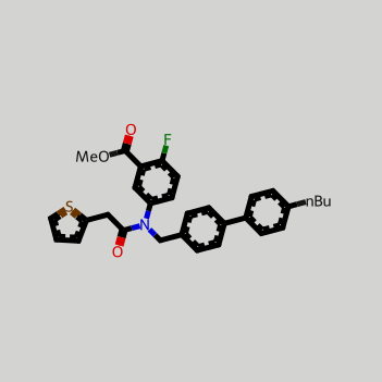 CCCCc1ccc(-c2ccc(CN(C(=O)Cc3cccs3)c3ccc(F)c(C(=O)OC)c3)cc2)cc1